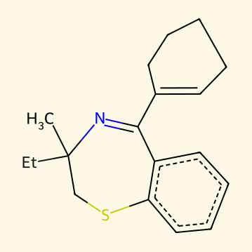 CCC1(C)CSc2ccccc2C(C2=CCCCC2)=N1